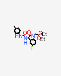 CCOC(CN1C(=O)C(NC(=O)Nc2ccc(C)cc2)c2cc(F)ccc21)OCC